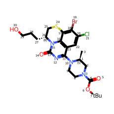 C[C@H]1CN(C(=O)OC(C)(C)C)CCN1c1nc(=O)n2c3c(c(Br)c(Cl)cc13)SC[C@H]2CCCO